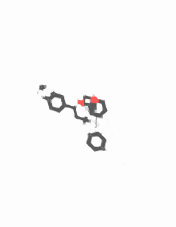 Cc1ccccc1NC(C(=O)C(Oc1ccc(C(=O)O)cc1)(N(C)C)N1CCCC1)c1ccc2ncoc2c1